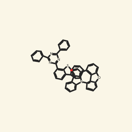 c1ccc(-c2nc(-c3ccccc3)nc(-c3cccc4c3sc3cc(-c5cccc6oc7cccc(-n8c9ccccc9c9ccccc98)c7c56)ccc34)n2)cc1